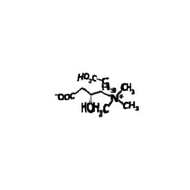 CC(=O)O.C[N+](C)(C)C[C@H](O)CC(=O)[O-]